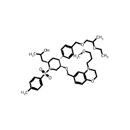 CCOC(C)COCc1ccc([C@H]2C[C@H](CC(C)O)N(S(=O)(=O)c3ccc(C)cc3)C[C@@H]2OCc2ccc3c(c2)N(CCCOC)CCO3)cc1